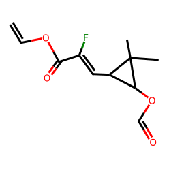 C=COC(=O)C(F)=CC1C(OC=O)C1(C)C